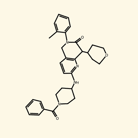 Cc1ccccc1N1Cc2ccc(NC3CCN(C(=O)c4ccccc4)CC3)nc2C(C2CCOCC2)C1=O